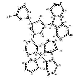 Fc1cccc(-c2nc(-c3cccc(S(c4ccccc4)(c4ccccc4)c4ccccc4)c3)nc(-n3c4ccccc4c4ccccc43)n2)c1